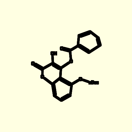 CCCCCCCCCCOc1cccc2oc(=O)c(O)c(OC(=O)c3ccccc3)c12